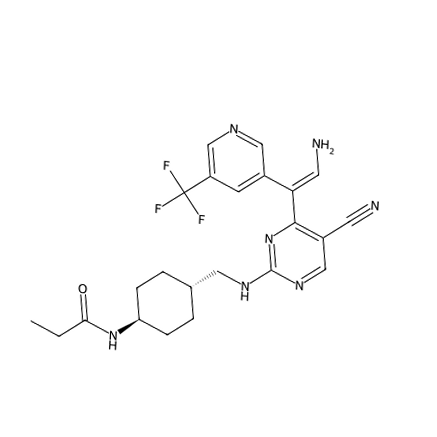 CCC(=O)N[C@H]1CC[C@H](CNc2ncc(C#N)c(/C(=C/N)c3cncc(C(F)(F)F)c3)n2)CC1